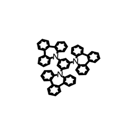 c1ccc2c(c1)-c1ccccc1N(c1cc(N3c4ccccc4-c4ccccc4-c4ccccc43)cc(N3c4ccccc4-c4ccccc4-c4ccccc43)c1)c1ccccc1-2